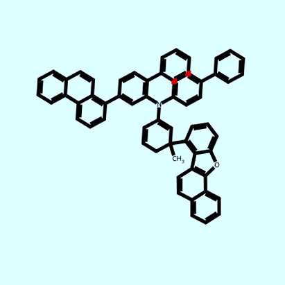 CC1(c2cccc3oc4c5ccccc5ccc4c23)C=C(N(c2ccc(-c3ccccc3)cc2)c2cc(-c3cccc4c3ccc3ccccc34)ccc2-c2ccccc2)C=CC1